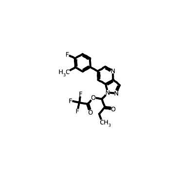 CCC(=O)C(OC(=O)C(F)(F)F)n1ncc2ncc(-c3ccc(F)c(C)c3)cc21